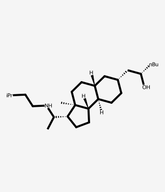 CCCC[C@H](O)C[C@@H]1CC[C@@H]2[C@H](CC[C@]3(C)[C@@H](C(C)NCCC(C)C)CC[C@@H]23)C1